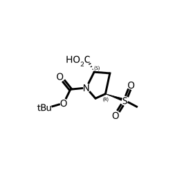 CC(C)(C)OC(=O)N1C[C@H](S(C)(=O)=O)C[C@H]1C(=O)O